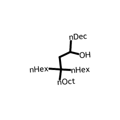 [CH2]CCCCCCCCCC(O)CC(CCCCCC)(CCCCCC)CCCCCCCC